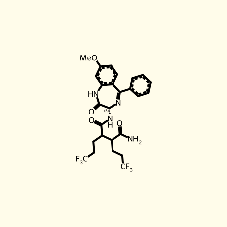 COc1ccc2c(c1)NC(=O)[C@@H](NC(=O)C(CCC(F)(F)F)C(CCC(F)(F)F)C(N)=O)N=C2c1ccccc1